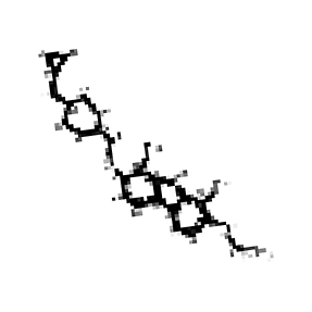 CCOc1ccc2c(sc3c(F)c(OCC4CCC(CC5CC5)CC4)ccc32)c1F